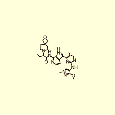 CCC(C(=O)Nc1nccc2c(-c3nc(Nc4cn(C)nc4OC)ncc3C)c[nH]c12)N1CCC2(CC1)COC2